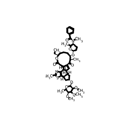 CC[C@H]1CCC[C@H](O[C@H]2CC[C@H](N(C)C(=O)c3ccccc3)C(C)O2)[C@@H](C)C(=O)C2=C[C@H]3[C@@H]4C[C@H](O[C@@H]5OC(C)[C@H](OC)C(OC)C5OC)C[C@H]4c4sc(C)nc4[C@H]3[C@@H]2CC(=O)O1